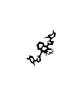 Cc1ccc(-c2ccc(-c3c4ccccc4c(-c4ccc(-c5ccc(C)cc5F)s4)c4nsnc34)s2)c(F)c1